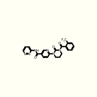 O=C(Nc1cccnn1)c1ccc(N2CCCN(C(=O)c3ccccc3C(F)(F)F)C2=O)nc1